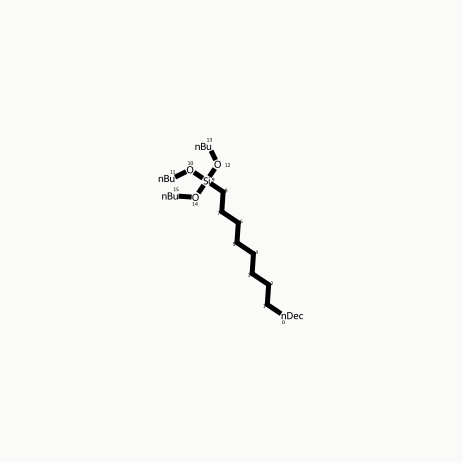 CCCCCCCCCCCCCCCCCC[Si](OCCCC)(OCCCC)OCCCC